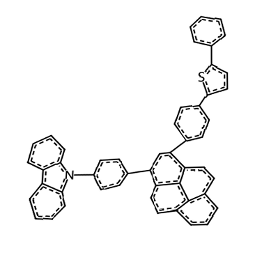 c1ccc(-c2ccc(-c3ccc(-c4cc(-c5ccc(-n6c7ccccc7c7ccccc76)cc5)c5ccc6cccc7ccc4c5c76)cc3)s2)cc1